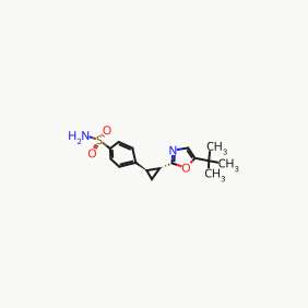 CC(C)(C)c1cnc([C@@H]2C[C@H]2c2ccc(S(N)(=O)=O)cc2)o1